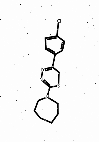 Clc1ccc(C2=NN=C(N3CCCCCC3)SC2)cc1